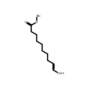 CCCCCCCCC=CCCCCCCCC(=O)OC(C)CC